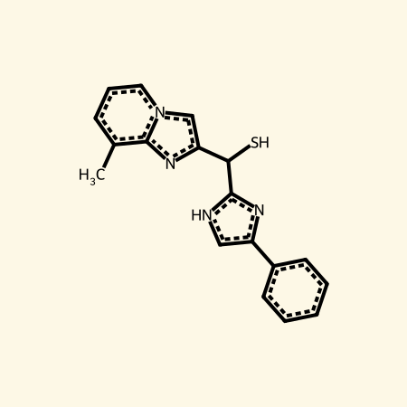 Cc1cccn2cc(C(S)c3nc(-c4ccccc4)c[nH]3)nc12